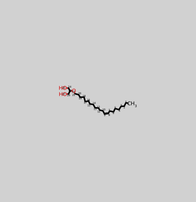 CCCCCCCC/C=C\CCCCCCCCCCCCOC(CO)CO